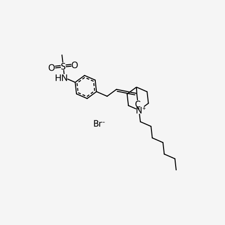 CCCCCCC[N+]12CCC(CC1)/C(=C/Cc1ccc(NS(C)(=O)=O)cc1)C2.[Br-]